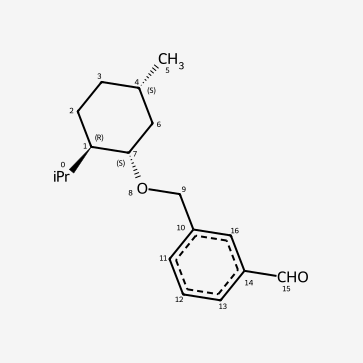 CC(C)[C@H]1CC[C@H](C)C[C@@H]1OCc1cccc(C=O)c1